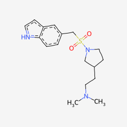 CN(C)CCC1CCN(S(=O)(=O)Cc2ccc3[nH]ccc3c2)C1